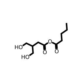 CCCCC(=O)OC(=O)CC(CO)CO